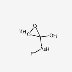 OC1([AsH]F)OO1.[KH]